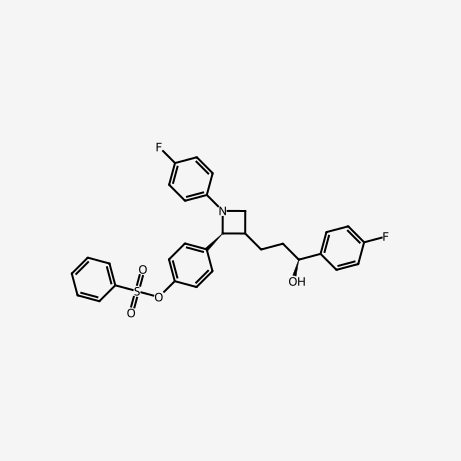 O=S(=O)(Oc1ccc([C@@H]2C(CC[C@H](O)c3ccc(F)cc3)CN2c2ccc(F)cc2)cc1)c1ccccc1